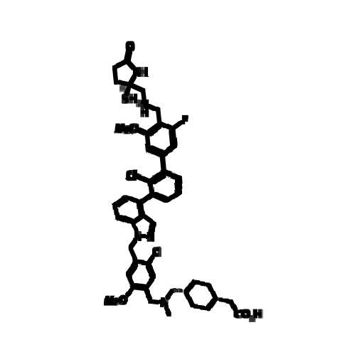 COc1cc(Cn2ncc3c(-c4cccc(-c5cc(F)c(CNC[C@]6([SiH3])CCC(=O)N6)c(OC)c5)c4Cl)cccc32)c(Cl)cc1CN(C)C[C@H]1CC[C@H](CC(=O)O)CC1